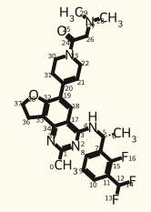 Cc1nc(N[C@H](C)c2cccc(C(F)F)c2F)c2cc(C3=CCN(C(=O)CN(C)C)CC3)c3c(c2n1)CCO3